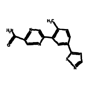 Cc1ccc(-c2ccns2)cc1-c1cnc(C(N)=O)cn1